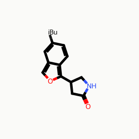 CCC(C)c1ccc2c(C3CNC(=O)C3)occ2c1